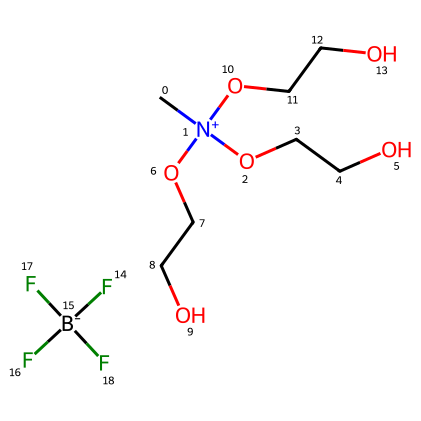 C[N+](OCCO)(OCCO)OCCO.F[B-](F)(F)F